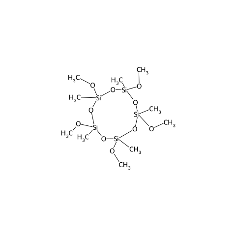 CO[Si]1(C)O[Si](C)(OC)O[Si](C)(OC)O[Si](C)(OC)O[Si](C)(OC)O1